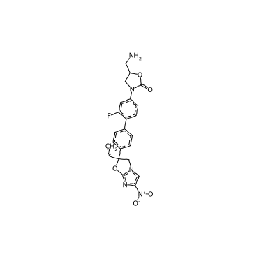 C=CC1(c2ccc(-c3ccc(N4CC(CN)OC4=O)cc3F)cc2)Cn2cc([N+](=O)[O-])nc2O1